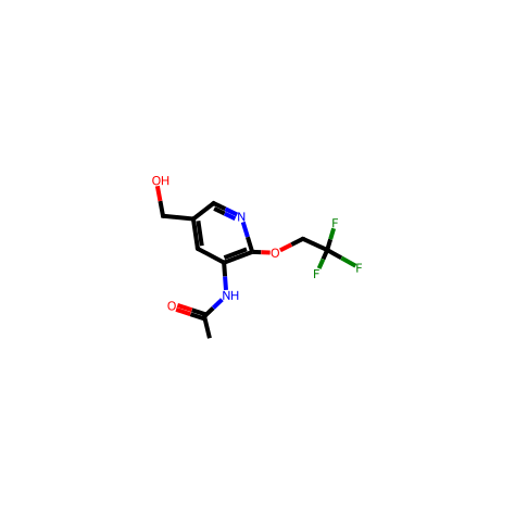 CC(=O)Nc1cc(CO)cnc1OCC(F)(F)F